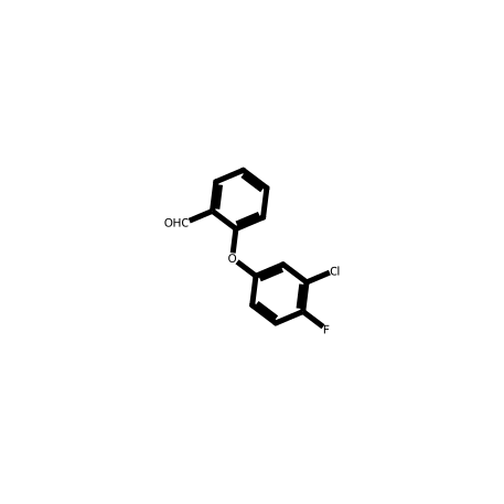 O=Cc1ccccc1Oc1ccc(F)c(Cl)c1